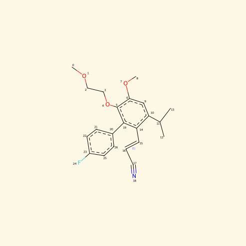 COCCOc1c(OC)cc(C(C)C)c(/C=C/C#N)c1-c1ccc(F)cc1